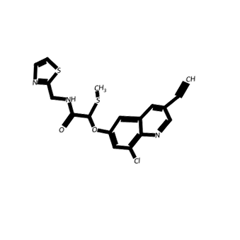 C#Cc1cnc2c(Cl)cc(OC(SC)C(=O)NCc3nccs3)cc2c1